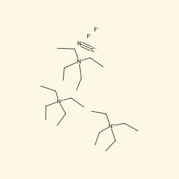 CC[N+](CC)(CC)CC.CC[N+](CC)(CC)CC.CC[N+](CC)(CC)CC.[C-]#N.[F-].[F-]